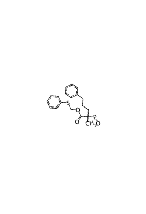 CC(CCCc1ccccc1)(P=O)C(=O)OCSc1ccccc1